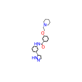 O=C(Nc1cccc(-c2ccn[nH]2)c1)c1cccc(OCCN2CCCCC2)c1